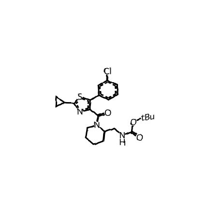 CC(C)(C)OC(=O)NCC1CCCCN1C(=O)c1nc(C2CC2)sc1-c1cccc(Cl)c1